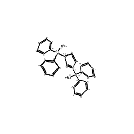 CC(C)(C)[Si](c1ccccc1)(c1ccccc1)n1cc[n+]([Si](c2ccccc2)(c2ccccc2)C(C)(C)C)c1